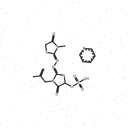 C=C(C)CN1C(=O)C(OS(=O)(=O)O)SC1=NN=C1SCC(=O)N1C.c1ccncc1